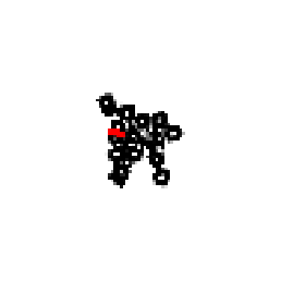 CC1CC2CC3CC(C23)N1c1cccc(S(c2ccccc2)(c2ccccc2)c2cc(-c3nc(-c4ccc(-c5ccccc5)cc4)nc(-n4c5ccccc5c5ccccc54)n3)cc(S(c3ccccc3)(c3ccccc3)c3cccc(N4C5CC6CC(C5)CC4C6)c3)c2)c1